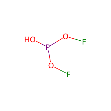 OP(OF)OF